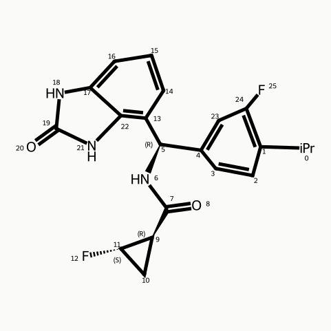 CC(C)c1ccc([C@@H](NC(=O)[C@H]2C[C@@H]2F)c2cccc3[nH]c(=O)[nH]c23)cc1F